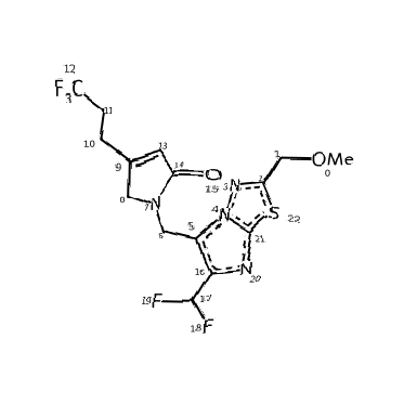 COCc1nn2c(CN3CC(CCC(F)(F)F)=CC3=O)c(C(F)F)nc2s1